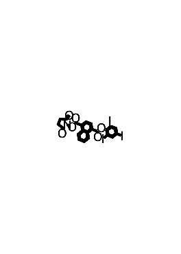 O=C(Oc1c(I)cc(I)cc1I)c1ccc(C(=O)ON2C(=O)CCC2=O)c2ccccc12